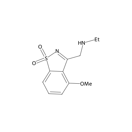 CCNCC1=NS(=O)(=O)c2cccc(OC)c21